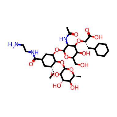 CC[C@@H]1CC(C(=O)NCCN)C[C@@H](O[C@@H]2OC(CO)C(O)C(O[C@@H](CC3CCCCC3)C(=O)O)C2NC(C)=O)C1OC1O[C@@H](C)C(O)[C@H](O)[C@@H]1O